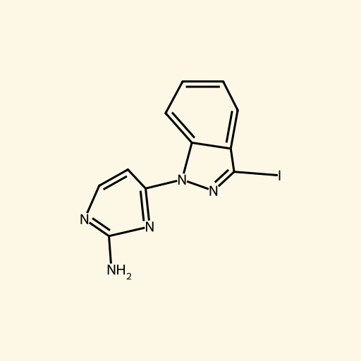 Nc1nccc(-n2nc(I)c3ccccc32)n1